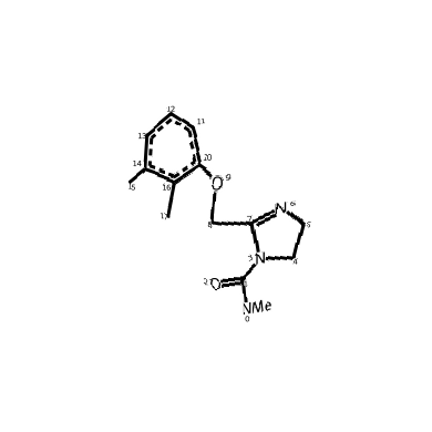 CNC(=O)N1CCN=C1COc1cccc(C)c1C